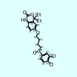 CCC1(CC)OC(=O)Nc2ccc(OCCCC[S+]([O-])c3ccc(Cl)c(Cl)c3)cc21